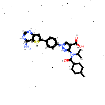 CC1CCC(C(=O)N(c2nn(-c3ccc(-c4cc5ncnc(N)c5s4)cc3)cc2C(=O)O)C(C)C)CC1